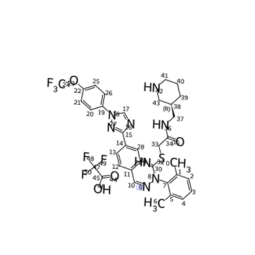 Cc1cccc(C)c1N(/N=C\c1ccc(-c2ncn(-c3ccc(OC(F)(F)F)cc3)n2)cc1)C(=N)SCC(=O)NC[C@@H]1CCCNC1.O=C(O)C(F)(F)F